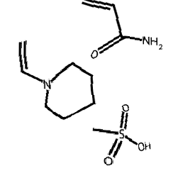 C=CC(N)=O.C=CN1CCCCC1.CS(=O)(=O)O